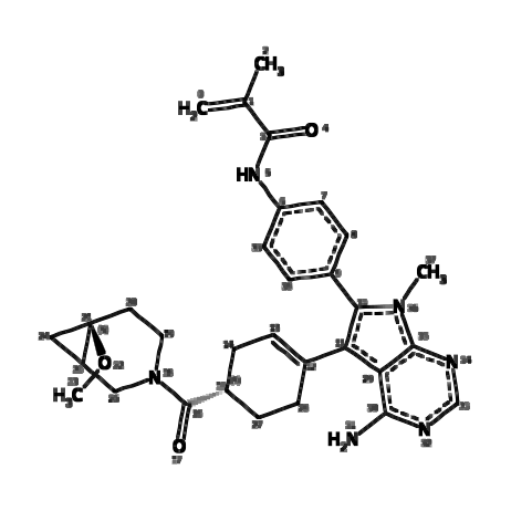 C=C(C)C(=O)Nc1ccc(-c2c(C3=CC[C@@H](C(=O)N4CC[C@@]5(OC)CC5C4)CC3)c3c(N)ncnc3n2C)cc1